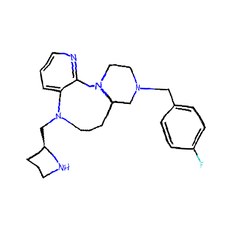 Fc1ccc(CN2CCN3c4ncccc4N(C[C@@H]4CCN4)CCC3C2)cc1